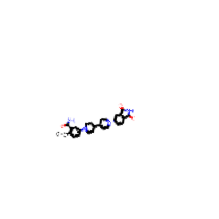 NC(=O)c1cc(-[n+]2ccc(-c3cc[n+](-c4ccc5c(c4)C(=O)NC5=O)cc3)cc2)ccc1C=O